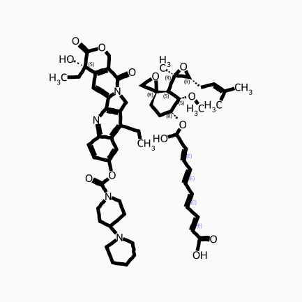 CCc1c2c(nc3ccc(OC(=O)N4CCC(N5CCCCC5)CC4)cc13)-c1cc3c(c(=O)n1C2)COC(=O)[C@]3(O)CC.CO[C@@H]1[C@H](OC(O)/C=C/C=C/C=C/C=C/C(=O)O)CC[C@]2(CO2)[C@H]1[C@@]1(C)O[C@@H]1CC=C(C)C